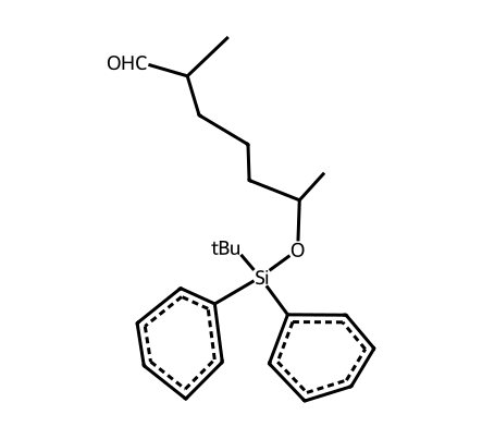 CC(C=O)CCCC(C)O[Si](c1ccccc1)(c1ccccc1)C(C)(C)C